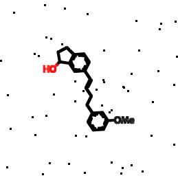 COc1cccc(CCC=Cc2ccc3c(c2)C(O)CC3)c1